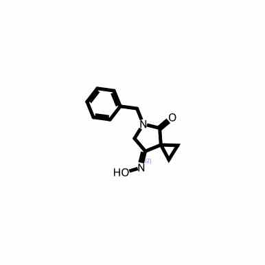 O=C1N(Cc2ccccc2)C/C(=N\O)C12CC2